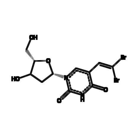 O=c1[nH]c(=O)n([C@@H]2CC(O)[C@H](CO)O2)cc1C=C(Br)Br